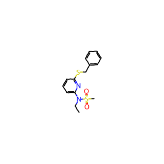 CCN(c1cccc(SCc2ccccc2)n1)S(C)(=O)=O